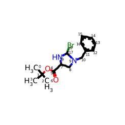 CC(C)(C)OC(=O)C1CN(Cc2ccccc2)C(Br)N1